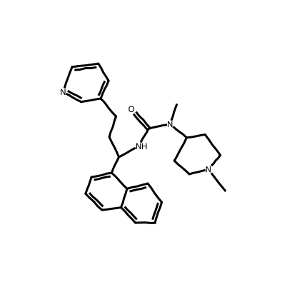 CN1CCC(N(C)C(=O)NC(CCc2cccnc2)c2cccc3ccccc23)CC1